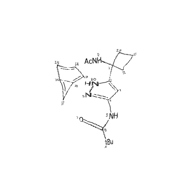 CC(=O)NC1(c2cc(NC(=O)C(C)(C)C)n[nH]2)CCC1.c1cc2cc-2c1